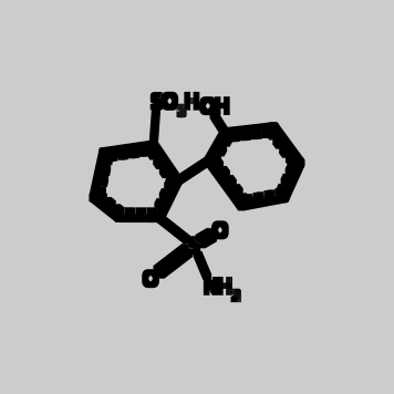 NS(=O)(=O)c1cccc(S(=O)(=O)O)c1-c1ccccc1O